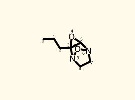 CCCC12OC1N1CCN2O1